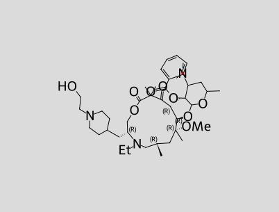 CCN1C[C@H](C)C[C@@](C)(OC)[C@H](OC2OC(C)CC(N(C)C)C2OC(=O)c2ccccc2)[C@@H](C)C(=O)C(C)(C)C(=O)OC[C@H]1CC1CCN(CCO)CC1